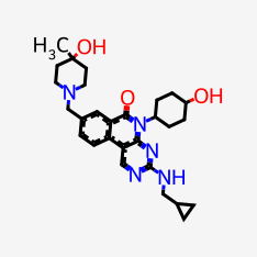 CC1(O)CCN(Cc2ccc3c(c2)c(=O)n(C2CCC(O)CC2)c2nc(NCC4CC4)ncc32)CC1